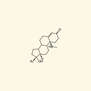 CB[C@]12CCC(=O)C=C1CCC1C3CC[C@](O)(C(C)=O)[C@H]3CCC12